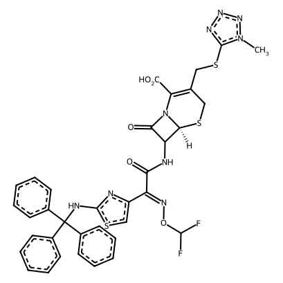 Cn1nnnc1SCC1=C(C(=O)O)N2C(=O)C(NC(=O)C(=NOC(F)F)c3csc(NC(c4ccccc4)(c4ccccc4)c4ccccc4)n3)[C@@H]2SC1